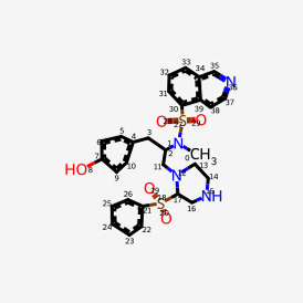 CN(C(Cc1ccc(O)cc1)CN1CCNCC1S(=O)(=O)c1ccccc1)S(=O)(=O)c1cccc2cnccc12